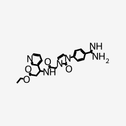 CCOC(=O)CC(NC(=O)Cn1ccn(-c2ccc(C(=N)N)cc2)c1=O)c1cccnc1